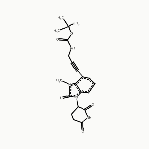 Cn1c(=O)n(C2CCC(=O)NC2=O)c2cccc(C#CCNC(=O)OC(C)(C)C)c21